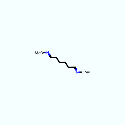 CO/N=C/CCCC/C=N/OC